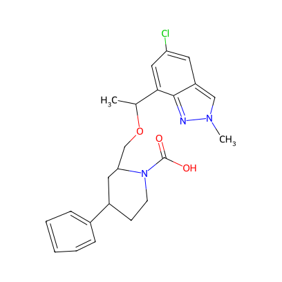 CC(OCC1CC(c2ccccc2)CCN1C(=O)O)c1cc(Cl)cc2cn(C)nc12